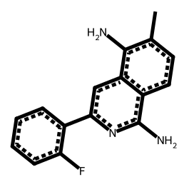 Cc1ccc2c(N)nc(-c3ccccc3F)cc2c1N